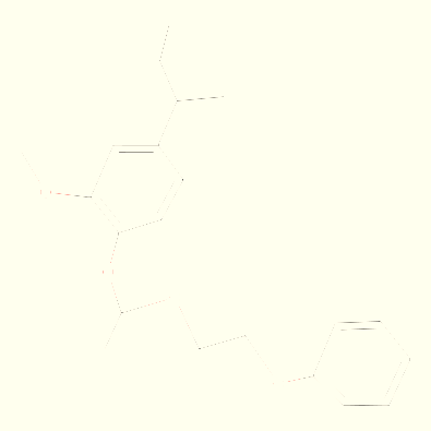 CCC(C)c1ccc(OC(C)OCCOc2ccccc2)c(OC)c1